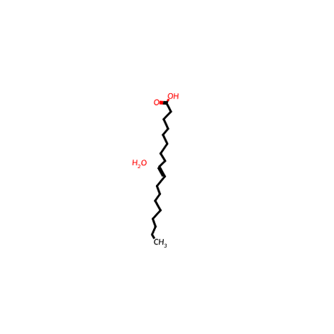 CCCCCCCCC=CCCCCCCCC(=O)O.O